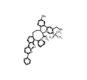 C=C1C2C(CCc3ccc4c(oc5nc(-c6ccccc6)ccc54)c3-c3cccc[n+]31)c1ccc(C(C)(C)C)cc1-c1cc(CC(C)C)c([Si](C)(C)C)c[n+]12